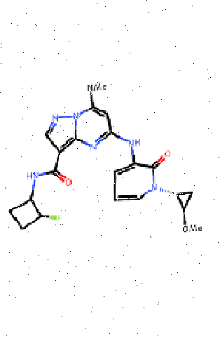 CNc1cc(Nc2cccn([C@@H]3C[C@H]3OC)c2=O)nc2c(C(=O)NC3CC[C@@H]3F)cnn12